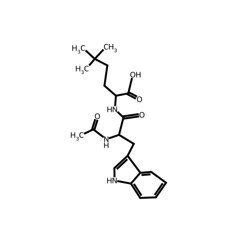 CC(=O)NC(Cc1c[nH]c2ccccc12)C(=O)NC(CCC(C)(C)C)C(=O)O